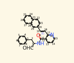 O=CC(Cc1ccccc1)NC(=O)c1cccnc1/C=C/c1ccc2ccccc2c1